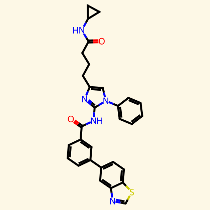 O=C(CCCc1cn(-c2ccccc2)c(NC(=O)c2cccc(-c3ccc4scnc4c3)c2)n1)NC1CC1